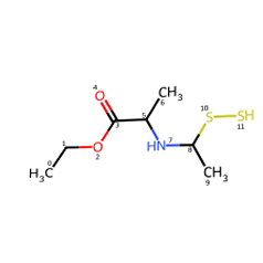 CCOC(=O)C(C)NC(C)SS